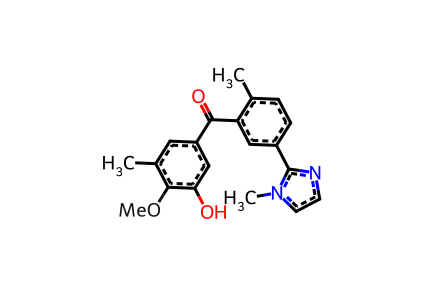 COc1c(C)cc(C(=O)c2cc(-c3nccn3C)ccc2C)cc1O